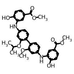 COC(=O)c1ccc(O)c(Nc2ccc(-c3ccc(Nc4cc(C(=O)OC)ccc4O)cc3OC(C)C)c(OC)c2)c1